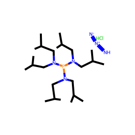 CC(C)CN(CC(C)C)P(N(CC(C)C)CC(C)C)N(CC(C)C)CC(C)C.Cl.[N-]=[N+]=N